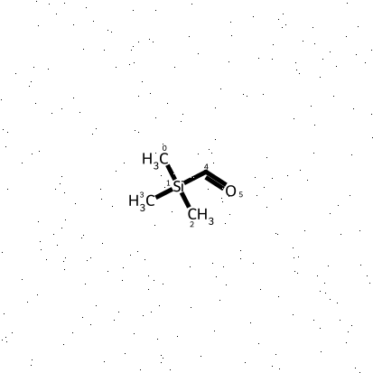 C[Si](C)(C)C=O